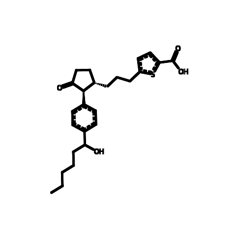 CCCCCC(O)c1ccc([C@H]2C(=O)CC[C@@H]2CCCc2ccc(C(=O)O)s2)cc1